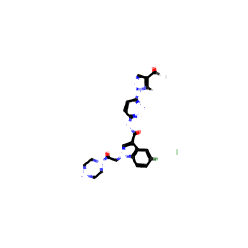 CCCC(=O)c1cnn(-c2ccc(NC(=O)c3cn(CC(=O)N4CCN(C)CC4)c4ccc(Cl)cc34)nn2)c1C.Cl